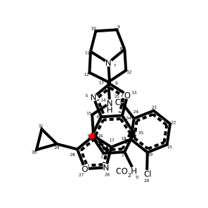 O=C(O)c1ccc2nc(N3C4CCC3CC(NCc3c(-c5c(Cl)cccc5Cl)noc3C3CC3)C4)oc2c1